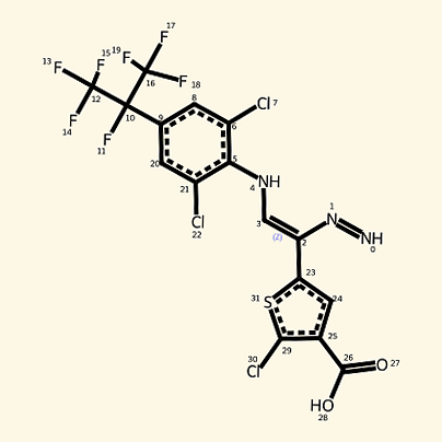 N=N/C(=C\Nc1c(Cl)cc(C(F)(C(F)(F)F)C(F)(F)F)cc1Cl)c1cc(C(=O)O)c(Cl)s1